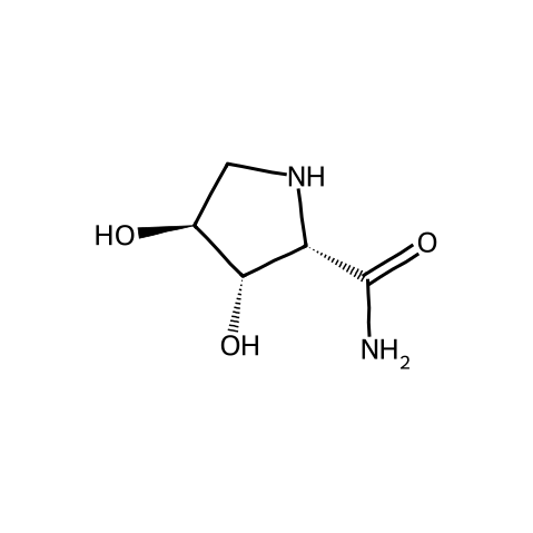 NC(=O)[C@H]1NC[C@H](O)[C@H]1O